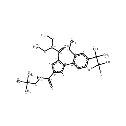 CCc1cc(C(C)(O)C(F)(F)F)ccc1-c1sc(C(=O)NCC(C)(C)O)nc1C(=O)N(CC)CC